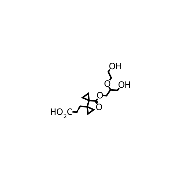 O=C(O)CCC1(C2(C(=O)OCC(CO)OCCO)CC2)CC1